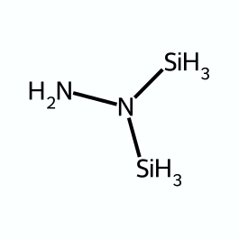 NN([SiH3])[SiH3]